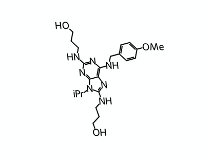 COc1ccc(CNc2nc(NCCCO)nc3c2nc(NCCCO)n3C(C)C)cc1